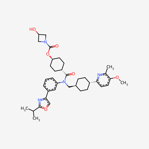 COc1ccc([C@H]2CC[C@H](CN(c3cccc(-c4coc(C(C)C)n4)c3)C(=O)[C@H]3CC[C@H](OC(=O)N4CC(O)C4)CC3)CC2)nc1C